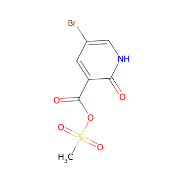 CS(=O)(=O)OC(=O)c1cc(Br)c[nH]c1=O